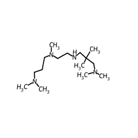 CN(C)CCCN(C)CCNCC(C)(C)CN(C)C